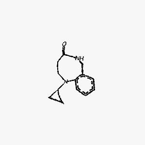 O=C1CCN(C2CC2)c2ccccc2CN1